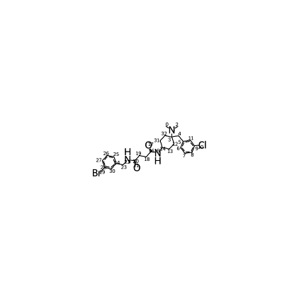 CN(C)C1(Cc2cccc(Cl)c2)CCC(NC(=O)CCC(=O)NCc2cccc(Br)c2)CC1